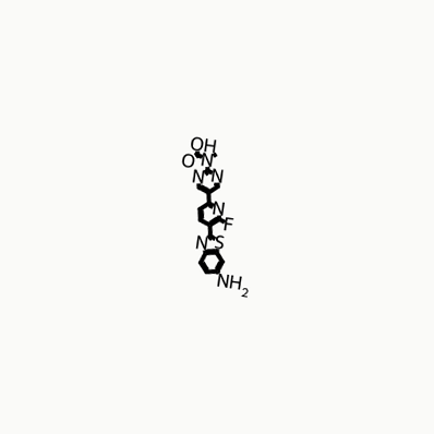 CN(C(=O)O)c1ncc(-c2ccc(-c3nc4ccc(N)cc4s3)c(F)n2)cn1